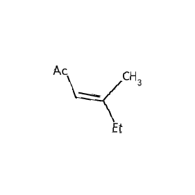 CCC(C)=CC(C)=O